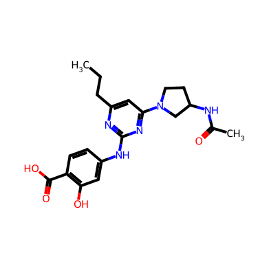 CCCc1cc(N2CCC(NC(C)=O)C2)nc(Nc2ccc(C(=O)O)c(O)c2)n1